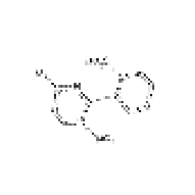 CCOC(=O)c1ccccc1-c1nc(Cl)ccc1[N+](=O)[O-]